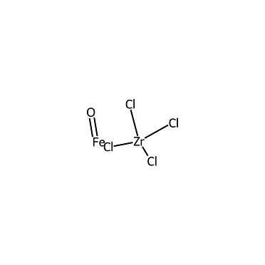 [Cl][Zr]([Cl])([Cl])[Cl].[O]=[Fe]